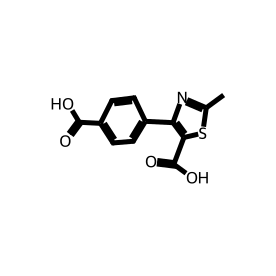 Cc1nc(-c2ccc(C(=O)O)cc2)c(C(=O)O)s1